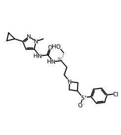 Cn1nc(C2CC2)cc1NC(=O)N[C@H](CO)CCN1CC([S+]([O-])c2ccc(Cl)cc2)C1